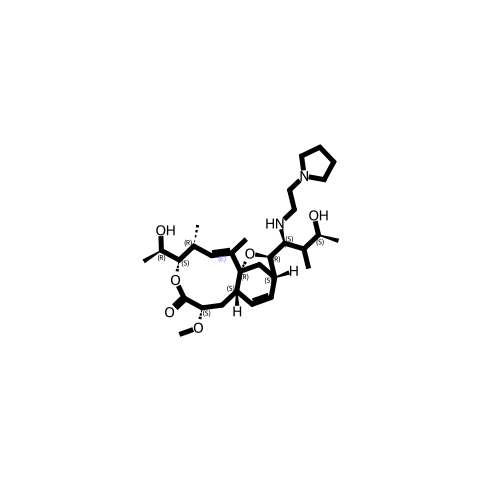 CO[C@H]1C[C@H]2C=C[C@@H]3C[C@]2(O[C@H]3[C@@H](NCCN2CCCC2)C(C)[C@H](C)O)/C(C)=C/[C@@H](C)[C@@H]([C@@H](C)O)OC1=O